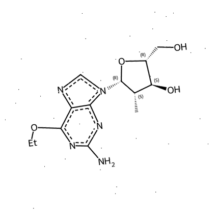 CCOc1nc(N)nc2c1ncn2[C@@H]1O[C@H](CO)[C@@H](O)[C@@H]1C